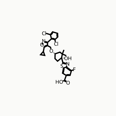 CC1(C)C[C@@H](OCc2c(-c3c(Cl)cccc3Cl)noc2C2CC2)CC[C@]1(O)c1nc2c(F)cc(C(=O)O)cc2s1